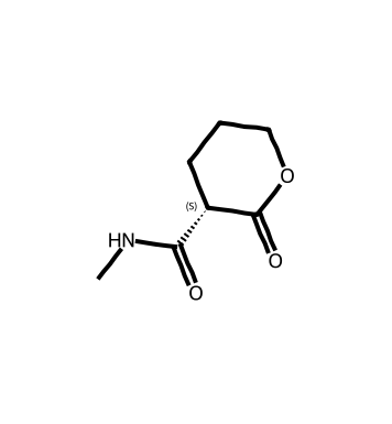 CNC(=O)[C@@H]1CCCOC1=O